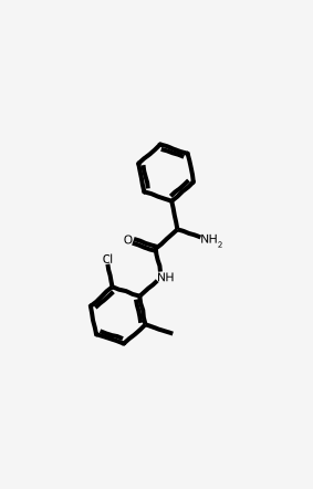 Cc1cccc(Cl)c1NC(=O)C(N)c1ccccc1